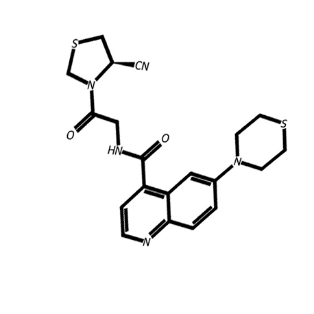 N#C[C@@H]1CSCN1C(=O)CNC(=O)c1ccnc2ccc(N3CCSCC3)cc12